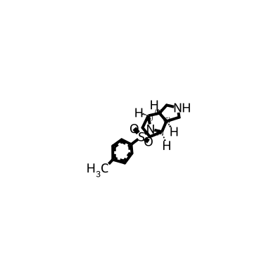 Cc1ccc(S(=O)(=O)N2[C@@H]3CC[C@H]2[C@H]2CNC[C@H]23)cc1